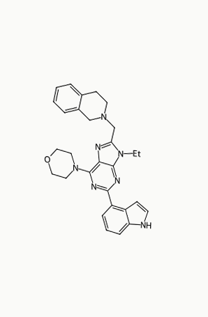 CCn1c(CN2CCc3ccccc3C2)nc2c(N3CCOCC3)nc(-c3cccc4[nH]ccc34)nc21